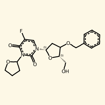 O=c1c(F)cn([C@@H]2CC(OCc3ccccc3)[C@H](CO)O2)c(=O)n1C1CCCO1